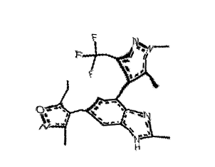 Cc1nc2c(-c3c(C(F)(F)F)nn(C)c3C)cc(-c3c(C)noc3C)cc2[nH]1